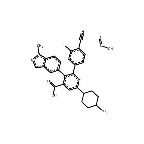 Cn1ncc2cc(-c3c(C(=O)O)cc(C4CCC(N)CC4)nc3-c3ccc(C#N)c(F)c3)ccc21.O=NO